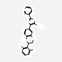 Cc1sc(-c2cccnc2)nc1-c1ccc2c(c1)OCC(c1c(F)cccc1Cl)N2